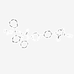 CC(C)n1ncn(-c2ccc(N3CCN(C(C(=O)NCC(C)(c4ccccc4)c4ccccc4)c4ccccc4)CC3)cc2)c1=O